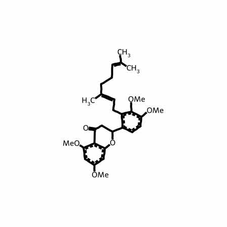 COc1cc(OC)c2c(c1)OC(c1ccc(OC)c(OC)c1C/C=C(\C)CCC=C(C)C)CC2=O